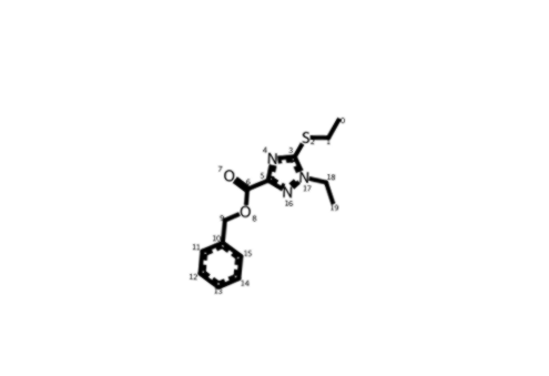 CCSc1nc(C(=O)OCc2ccccc2)nn1CC